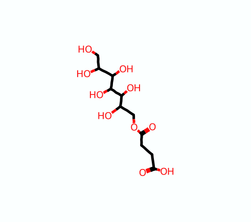 O=C(O)CCC(=O)OCC(O)C(O)C(O)C(O)C(O)CO